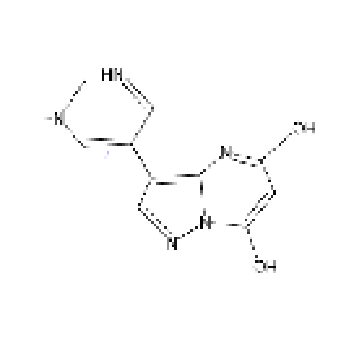 CN(C)/C=C(\C=N)c1cnn2c(O)cc(O)nc12